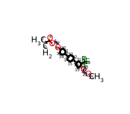 C=C(C)C(=O)O/C=C\Oc1ccc(-c2ccc(-c3ccc(O/C=C\OC)c(C(F)(F)F)c3)cc2)cc1